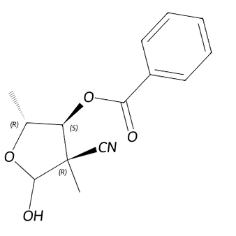 C[C@H]1OC(O)[C@](C)(C#N)[C@@H]1OC(=O)c1ccccc1